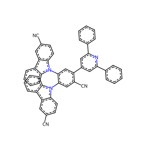 N#Cc1ccc2c(c1)c1ccccc1n2-c1cc(C#N)c(-c2cc(-c3ccccc3)nc(-c3ccccc3)c2)cc1-n1c2ccccc2c2cc(C#N)ccc21